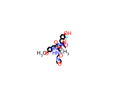 COc1ccc(CC(NC(=O)C(C)NC(=O)CN2CCOCC2)C(=O)NC(Cc2ccc(O)c(F)c2)C(=O)C2(C)CO2)cc1